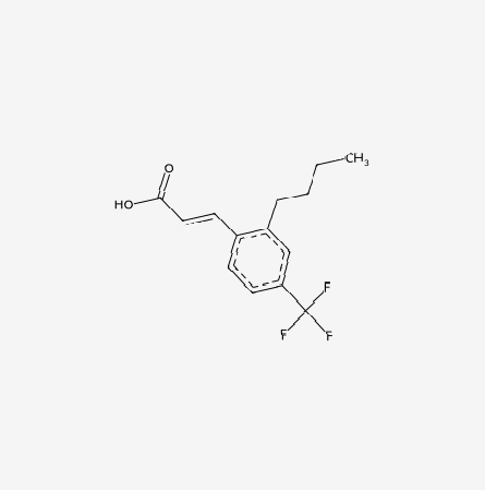 CCCCc1cc(C(F)(F)F)ccc1C=CC(=O)O